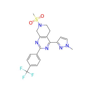 Cn1ccc(-c2nc(-c3ccc(C(F)(F)F)cc3)nc3c2CCN(S(C)(=O)=O)C3)n1